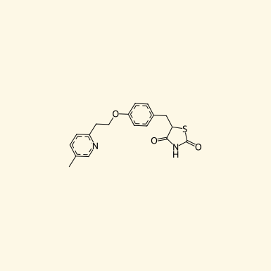 Cc1ccc(CCOc2ccc(CC3SC(=O)NC3=O)cc2)nc1